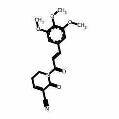 COc1cc(/C=C/C(=O)N2CCC=C(C#N)C2=O)cc(OC)c1OC